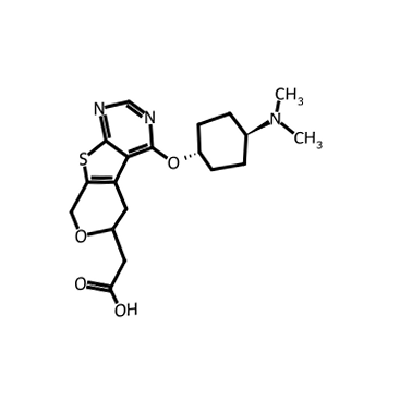 CN(C)[C@H]1CC[C@H](Oc2ncnc3sc4c(c23)CC(CC(=O)O)OC4)CC1